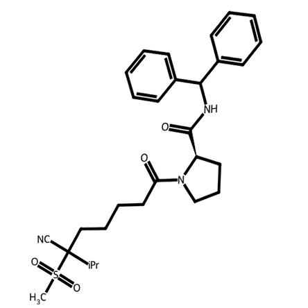 CC(C)C(C#N)(CCCCC(=O)N1CCC[C@@H]1C(=O)NC(c1ccccc1)c1ccccc1)S(C)(=O)=O